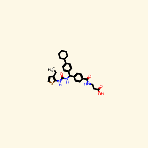 CCc1ccsc1NC(=O)NC(c1ccc(C(=O)NCCC(=O)O)cc1)c1ccc(C2CCCCC2)cc1